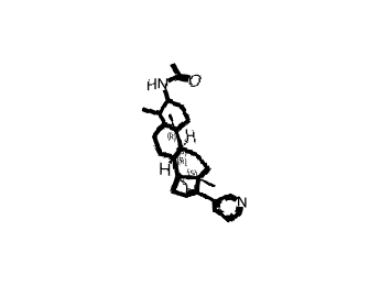 CC(=O)NC1CC[C@@]2(C)C(CC[C@@H]3[C@@H]2CC[C@]2(C)C(c4cccnc4)=CC[C@@H]32)C1C